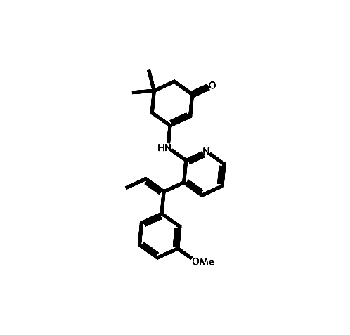 C/C=C(\c1cccc(OC)c1)c1cccnc1NC1=CC(=O)CC(C)(C)C1